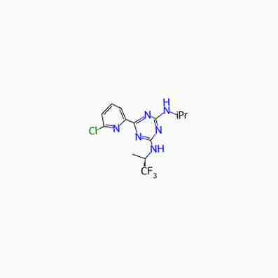 CC(C)Nc1nc(N[C@H](C)C(F)(F)F)nc(-c2cccc(Cl)n2)n1